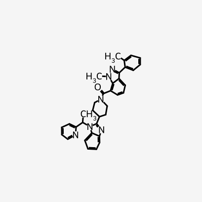 Cc1ccccc1-c1nn(C)c2c(C(=O)N3CCC(c4nc5ccccc5n4C(C)c4ccccn4)CC3)cccc12